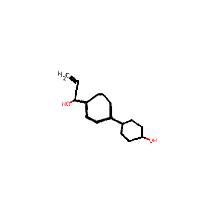 C=CC(O)C1CCC(C2CCC(O)CC2)CC1